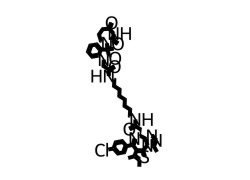 Cc1sc2c(c1C)C(c1ccc(Cl)cc1)=N[C@@H](CC(=O)NCCCCCCCCNC(=O)CN1C(=O)C(C)(N3CCCC(=O)NC3=O)c3ccccc31)c1nnc(C)n1-2